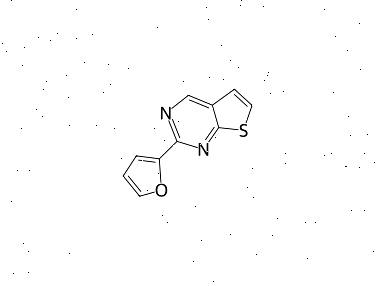 c1coc(-c2ncc3ccsc3n2)c1